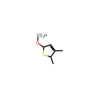 CC1=CC(OC(=O)O)SC1C